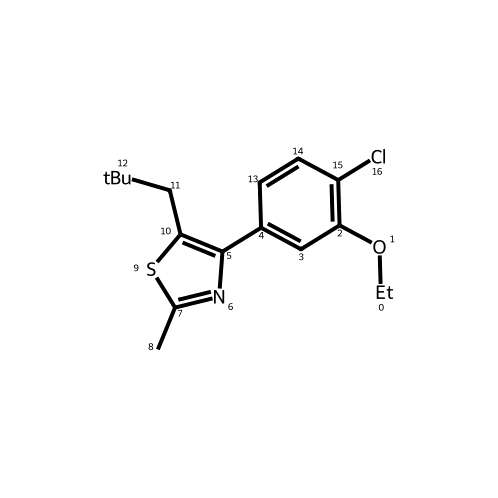 CCOc1cc(-c2nc(C)sc2CC(C)(C)C)ccc1Cl